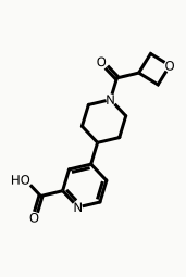 O=C(O)c1cc(C2CCN(C(=O)C3COC3)CC2)ccn1